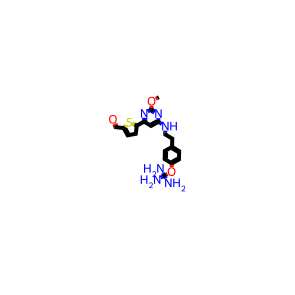 COc1nc(NCCc2ccc(OC(N)(N)N)cc2)cc(C2CC=C(C=O)S2)n1